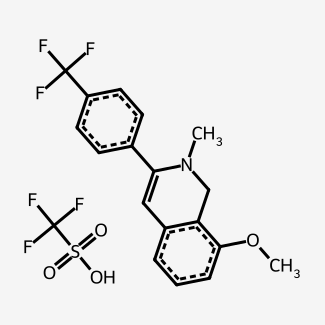 COc1cccc2c1CN(C)C(c1ccc(C(F)(F)F)cc1)=C2.O=S(=O)(O)C(F)(F)F